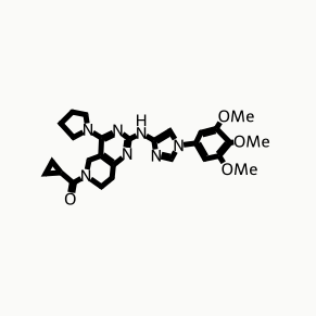 COc1cc(-n2cnc(Nc3nc4c(c(N5CCCC5)n3)CN(C(=O)C3CC3)CC4)c2)cc(OC)c1OC